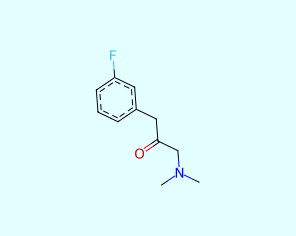 CN(C)CC(=O)Cc1cccc(F)c1